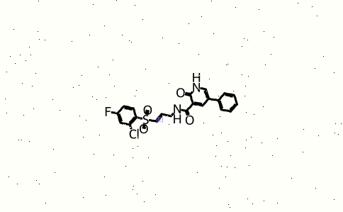 O=C(NC/C=C/S(=O)(=O)c1ccc(F)cc1Cl)c1cc(-c2ccccc2)c[nH]c1=O